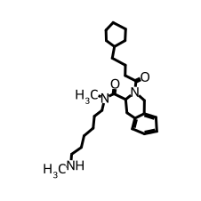 CNCCCCCCN(C)C(=O)C1Cc2ccccc2CN1C(=O)CCCC1CCCCC1